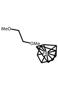 COCCOC.[CH]12[CH]3[CH]4[CH]5[CH]1[Fe]23451678[CH]2[CH]1[CH]6[CH]7[CH]28